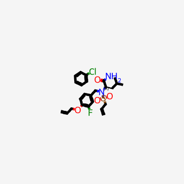 C=CCOc1ccc(CN([C@H](CC(C)C)C(N)=O)S(=O)(=O)CC=C)cc1F.Clc1ccccc1